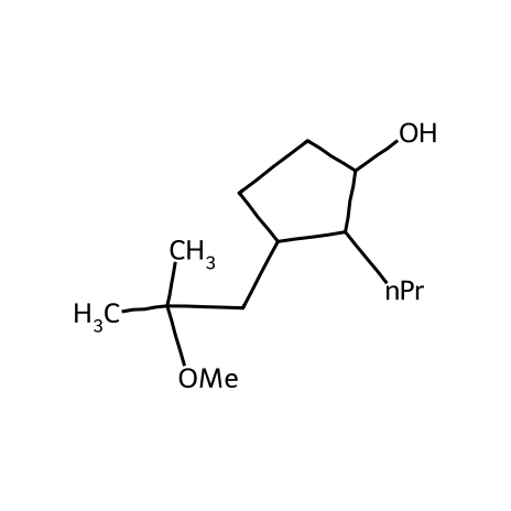 CCCC1C(O)CCC1CC(C)(C)OC